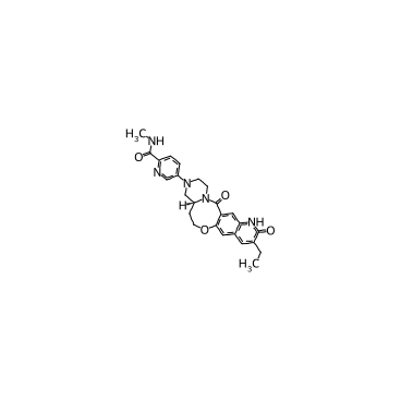 CCc1cc2cc3c(cc2[nH]c1=O)C(=O)N1CCN(c2ccc(C(=O)NC)nc2)C[C@H]1CCO3